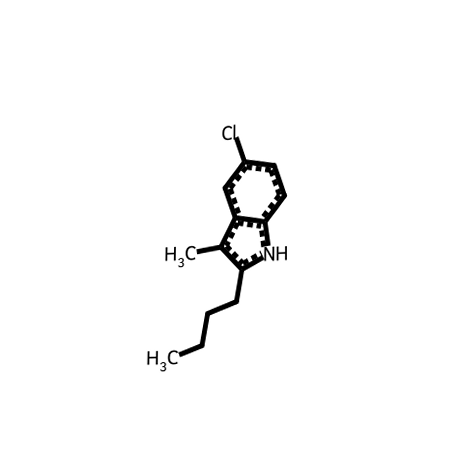 CCCCc1[nH]c2ccc(Cl)cc2c1C